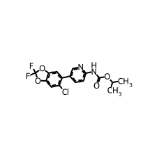 CC(C)OC(=O)Nc1ccc(-c2cc3c(cc2Cl)OC(F)(F)O3)cn1